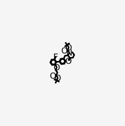 CC(C)(C)OC(=O)CCOc1cccc(F)c1-c1cccc(CC2C(=O)CCCN2C(=O)OC(C)(C)C)c1